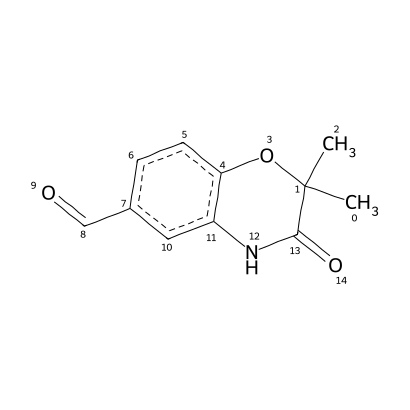 CC1(C)Oc2ccc(C=O)cc2NC1=O